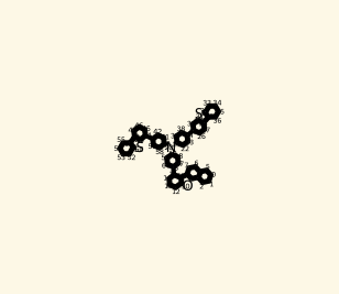 c1ccc2c(c1)ccc1c2oc2cccc(-c3ccc(N(c4ccc(-c5ccc6c(c5)sc5ccccc56)cc4)c4ccc(-c5cccc6c5sc5ccccc56)cc4)cc3)c21